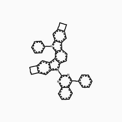 c1ccc(-c2nc(-n3c4cc5c(cc4c4c3ccc3c6cc7c(cc6n(-c6ccccc6)c34)CC7)CC5)nc3ccccc23)cc1